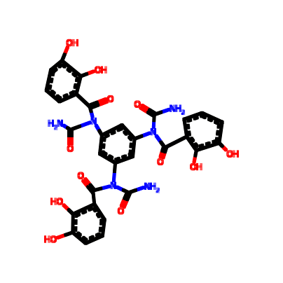 NC(=O)N(C(=O)c1cccc(O)c1O)c1cc(N(C(N)=O)C(=O)c2cccc(O)c2O)cc(N(C(N)=O)C(=O)c2cccc(O)c2O)c1